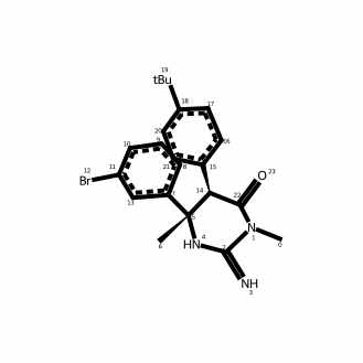 CN1C(=N)N[C@](C)(c2cccc(Br)c2)[C@@H](c2ccc(C(C)(C)C)cc2)C1=O